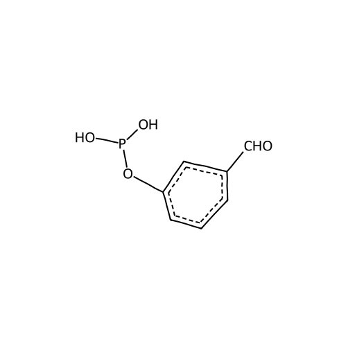 O=Cc1cccc(OP(O)O)c1